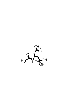 CC(=O)OC(CC(O)(O)O)OC(C)=O